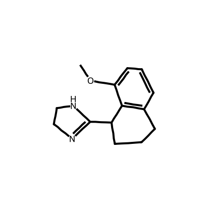 COc1cccc2c1C(C1=NCCN1)CCC2